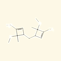 COC1(C)C(N)=CC1CC1C=C(N)C1(C)OC